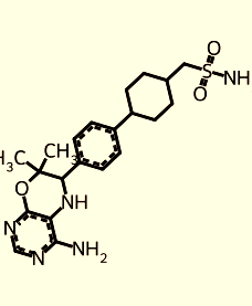 CC1(C)Oc2ncnc(N)c2NC1c1ccc(C2CCC(CS(N)(=O)=O)CC2)cc1